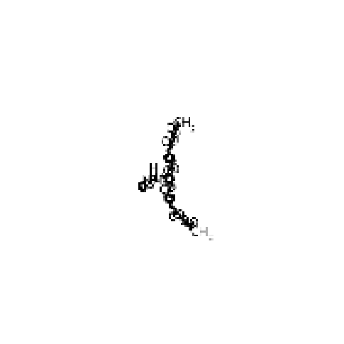 C=CC(=O)COCOC(=O)/C=C/c1ccc(C(=O)Oc2ccc(OC(=O)c3ccc(/C=C/C(=O)OCOC(=O)C=C)cc3)c(/C=N/Nc3nc4ccccc4s3)c2)cc1